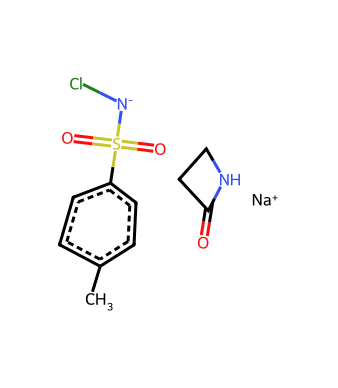 Cc1ccc(S(=O)(=O)[N-]Cl)cc1.O=C1CCN1.[Na+]